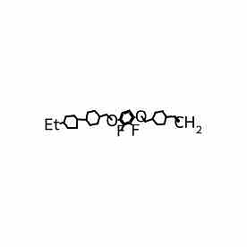 C=CC1CCC(COc2ccc(OCC3CCC(C4CCC(CC)CC4)CC3)c(F)c2F)CC1